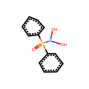 O=P(c1ccccc1)(c1ccccc1)N(O)O